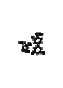 CCC(CO)(CO)CO.COc1ccc(C2CC(=O)CC(=O)C2)cc1F